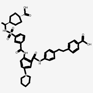 CC(NS(=O)(=O)c1cccc(C(=O)Nc2ccc(N3CCCCC3)cc2C(=O)Nc2ccc(CCc3ccc(C(=O)O)cc3)cc2)c1)[C@H]1CC[C@H](C(=O)O)CC1